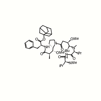 CC[C@H](C)[C@@H]([C@@H](CC(=O)N1CCC[C@H]1[C@H](OC)[C@@H](C)C(=O)N[C@@H](Cc1ccccc1)C(=O)OC12CC3CC(CC(C3)C1)C2)OC)N(C)[C@H](C(=O)NC(=O)[C@@H](NC)C(C)C)C(C)C